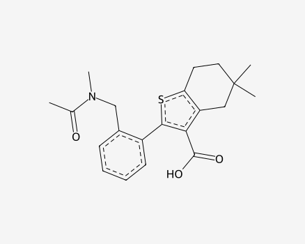 CC(=O)N(C)Cc1ccccc1-c1sc2c(c1C(=O)O)CC(C)(C)CC2